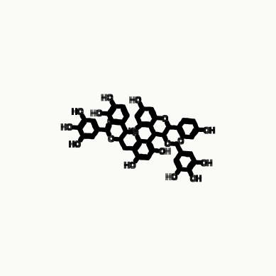 O=C(OC1Cc2c(O)cc(O)c(C3c4c(O)cc(O)cc4OC(c4ccc(O)cc4)C3OC(=O)c3cc(O)c(O)c(O)c3)c2OC1c1ccc(O)c(O)c1)c1cc(O)c(O)c(O)c1